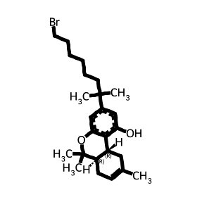 CC1=CC[C@@H]2[C@@H](C1)c1c(O)cc(C(C)(C)CCCCCCBr)cc1OC2(C)C